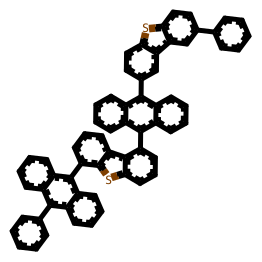 c1ccc(-c2ccc3sc4ccc(-c5c6ccccc6c(-c6cccc7sc8c(-c9c%10ccccc%10c(-c%10ccccc%10)c%10ccccc9%10)cccc8c67)c6ccccc56)cc4c3c2)cc1